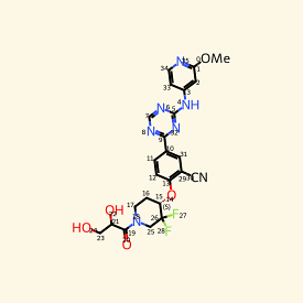 COc1cc(Nc2ncnc(-c3ccc(O[C@H]4CCN(C(=O)C(O)CO)CC4(F)F)c(C#N)c3)n2)ccn1